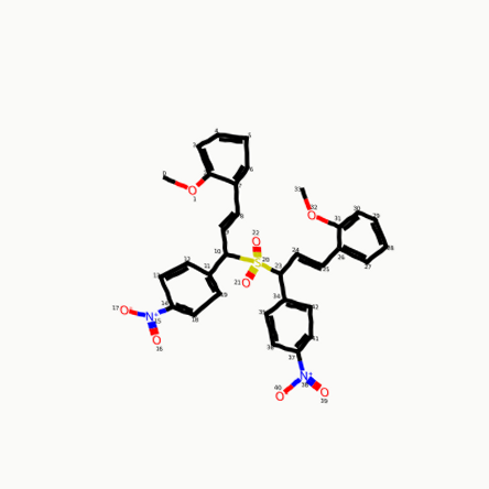 COc1ccccc1C=CC(c1ccc([N+](=O)[O-])cc1)S(=O)(=O)C(C=Cc1ccccc1OC)c1ccc([N+](=O)[O-])cc1